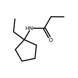 CCC(=O)NC1(CC)CCCC1